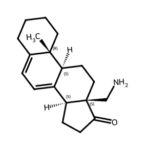 C[C@]12CCCCC1=CC=C1[C@@H]3CCC(=O)[C@@]3(CN)CC[C@@H]12